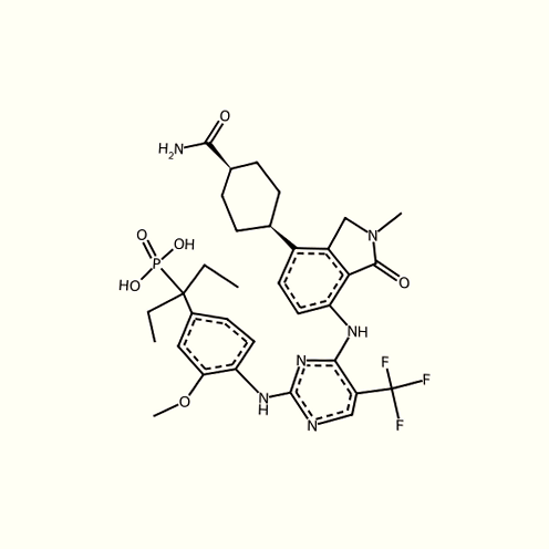 CCC(CC)(c1ccc(Nc2ncc(C(F)(F)F)c(Nc3ccc([C@H]4CC[C@@H](C(N)=O)CC4)c4c3C(=O)N(C)C4)n2)c(OC)c1)P(=O)(O)O